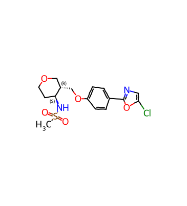 CS(=O)(=O)N[C@H]1CCOC[C@@H]1COc1ccc(-c2ncc(Cl)o2)cc1